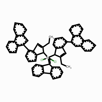 CCC1=Cc2c(-c3cc4ccccc4c4ccccc34)cccc2[CH]1[Zr]([Cl])([Cl])(=[C]1c2ccccc2-c2ccccc21)[CH]1C(CC)=Cc2c(-c3cc4ccccc4c4ccccc34)cccc21